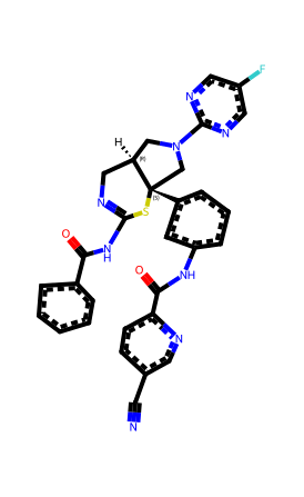 N#Cc1ccc(C(=O)Nc2cccc([C@]34CN(c5ncc(F)cn5)C[C@@H]3CN=C(NC(=O)c3ccccc3)S4)c2)nc1